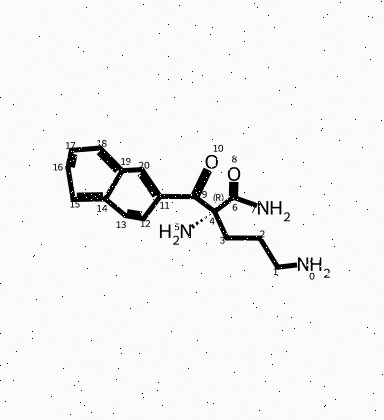 NCCC[C@](N)(C(N)=O)C(=O)c1ccc2ccccc2c1